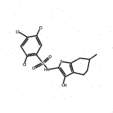 CC1CCc2c(sc(NS(=O)(=O)c3cc(Cl)c(Cl)cc3Cl)c2C#N)C1